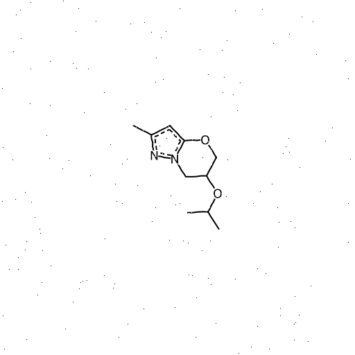 Cc1cc2n(n1)CC(OC(C)C)CO2